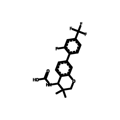 CC1(C)COc2cc(-c3ccc(C(F)(F)F)cc3F)ccc2C1NC(=O)O